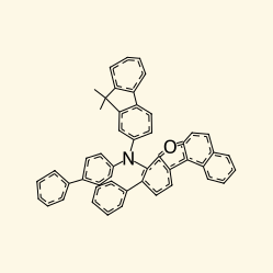 CC1(C)c2ccccc2-c2ccc(N(c3ccc(-c4ccccc4)cc3)c3c(-c4ccccc4)ccc4c3oc3ccc5ccccc5c34)cc21